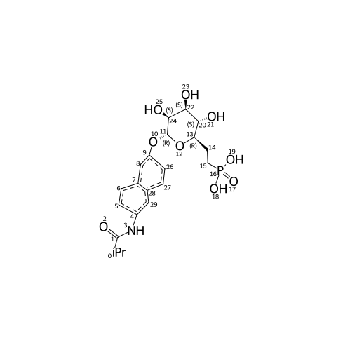 CC(C)C(=O)Nc1ccc2cc(O[C@H]3O[C@H](CCP(=O)(O)O)[C@@H](O)[C@H](O)[C@@H]3O)ccc2c1